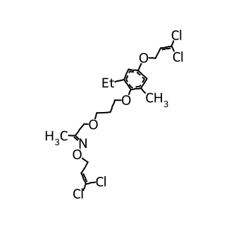 CCc1cc(OCC=C(Cl)Cl)cc(C)c1OCCCOCC(C)=NOCC=C(Cl)Cl